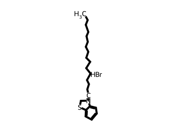 Br.CCCCCCCCCCCCCCCCN1CSc2ccccc21